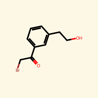 O=C(CBr)c1cccc(CCO)c1